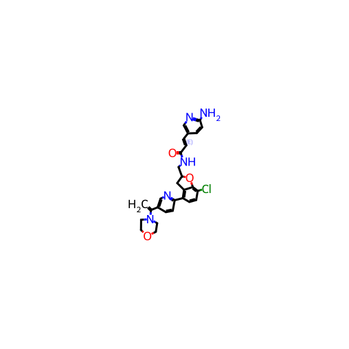 C=C(c1ccc(-c2ccc(Cl)c3c2CC(CNC(=O)/C=C/c2ccc(N)nc2)O3)nc1)N1CCOCC1